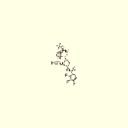 CN(CC(c1ccc(OC(=O)c2ccc(F)c(F)c2F)cc1)c1nccn1C(=O)O)C(=O)OC(C)(C)C